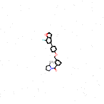 O=C(O)[C@@H]1CCCN1C(=O)c1cccc(COc2ccc(-c3cc(F)c4occc4c3)cc2)c1